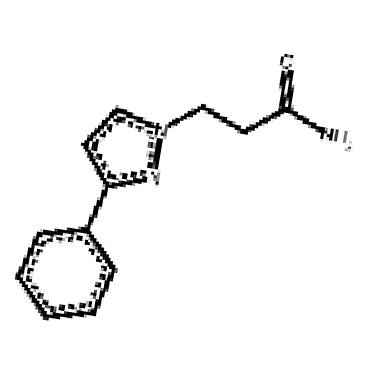 NC(=O)CCn1ccc(-c2ccccc2)n1